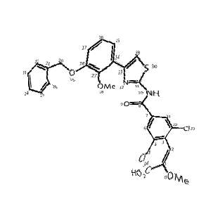 COC(=Cc1c(Cl)cc(C(=O)Nc2nc(-c3cccc(OCc4ccccc4)c3OC)cs2)cc1Cl)C(=O)O